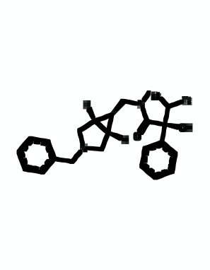 CCC(CC)[C@@](O)(C(=O)N(C)C[C@H]1[C@@H]2CN(Cc3ccccc3)C[C@@H]21)c1ccccc1